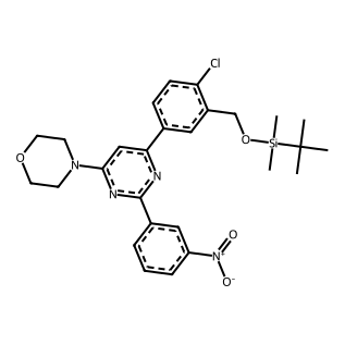 CC(C)(C)[Si](C)(C)OCc1cc(-c2cc(N3CCOCC3)nc(-c3cccc([N+](=O)[O-])c3)n2)ccc1Cl